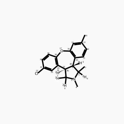 [2H]C1([2H])N(C)C([2H])(C)[C@@]2([2H])c3ccc(C)cc3Oc3ccc(Cl)cc3[C@]12[2H]